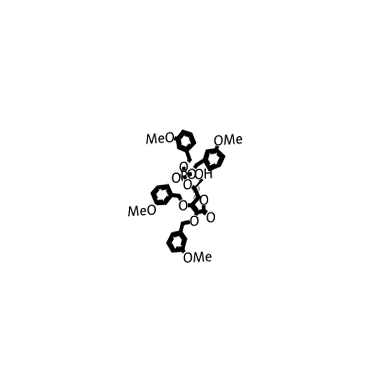 COc1cccc(COC2=C(OCc3cccc(OC)c3)[C@@H]([C@H](CO)OP(=O)(OCc3cccc(OC)c3)OCc3cccc(OC)c3)OC2=O)c1